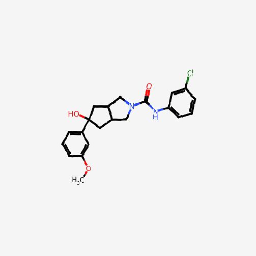 COc1cccc(C2(O)CC3CN(C(=O)Nc4cccc(Cl)c4)CC3C2)c1